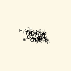 Cc1c2c(c(N(C)C(=O)OC(C)(C)C)c3ccc(Br)cc13)C[C@H]1C[C@H]3[C@H](N(C)C)c4onc(OCc5ccccc5)c4C(=O)[C@@]3(O[Si](C)(C)C(C)(C)C)C(O)=C1C2=O